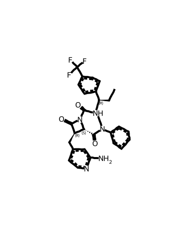 CC[C@@H](NC(=O)N1C(=O)[C@H](Cc2ccnc(N)c2)[C@H]1C(=O)N(C)c1ccccc1)c1ccc(C(F)(F)F)cc1